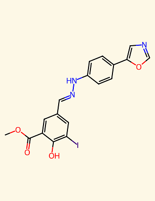 COC(=O)c1cc(C=NNc2ccc(-c3cnco3)cc2)cc(I)c1O